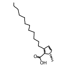 CCCCCCCCCCCCC1=C(C(=O)O)S(=S)C=C1